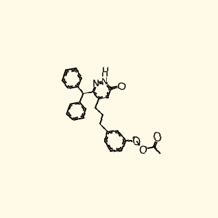 CC(=O)OOc1cccc(CCCc2cc(=O)[nH]nc2C(c2ccccc2)c2ccccc2)c1